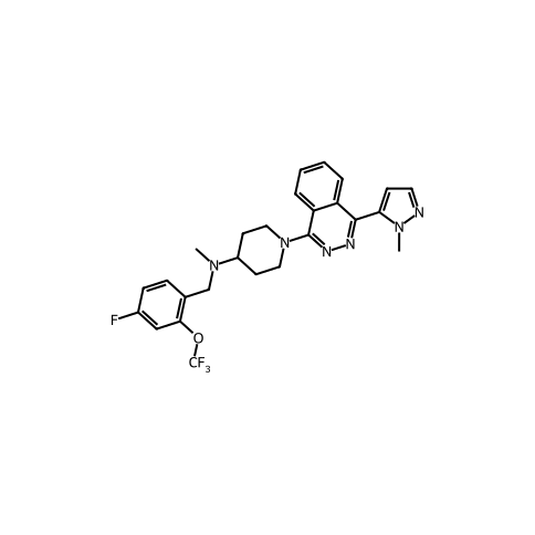 CN(Cc1ccc(F)cc1OC(F)(F)F)C1CCN(c2nnc(-c3ccnn3C)c3ccccc23)CC1